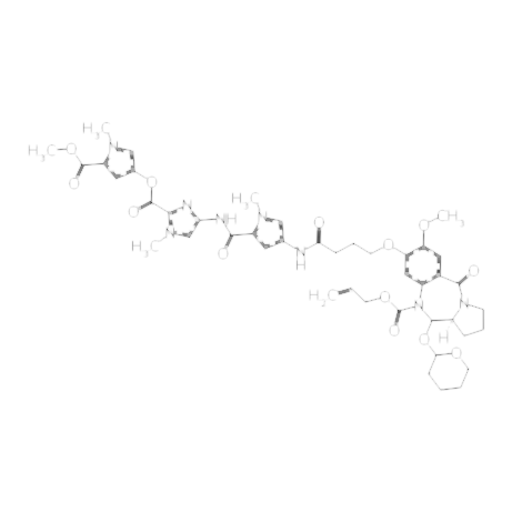 C=CCOC(=O)N1c2cc(OCCCC(=O)Nc3cc(C(=O)Nc4cn(C)c(C(=O)Oc5cc(C(=O)OC)n(C)c5)n4)n(C)c3)c(OC)cc2C(=O)N2CCC[C@H]2C1OC1CCCCO1